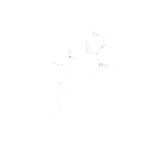 CCCCCOC(CC)C(=O)Oc1ccccc1C(=O)O